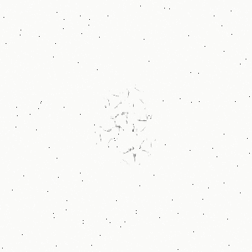 C1=c2ccccc2=CC2c3c(cc(-c4cccc5c4sc4ccccc45)nc3-c3nc(-c4ccccc4)nc(-c4ccccc4)n3)OC12